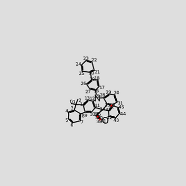 CC1(C)c2ccccc2-c2cc3c(cc21)N(c1ccc(-c2ccccc2)cc1)c1ccccc1C31c2ccccc2Oc2ccccc21